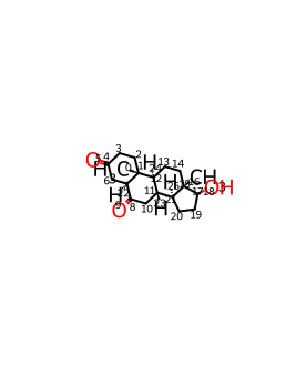 C[C@]12CCC(=O)C[C@@H]1C(=O)C[C@@H]1[C@@H]2CC[C@]2(C)C(O)CC[C@@H]12